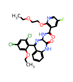 CCOCCOc1ncc(F)cc1C(=O)NC1N=C(c2c(Cl)cc(Cl)cc2OCC)c2ccccc2NC1=O